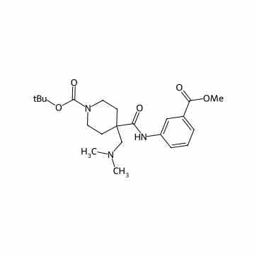 COC(=O)c1cccc(NC(=O)C2(CN(C)C)CCN(C(=O)OC(C)(C)C)CC2)c1